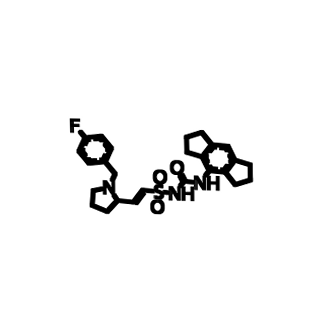 O=C(Nc1c2c(cc3c1CCC3)CCC2)NS(=O)(=O)/C=C/C1CCCN1Cc1ccc(F)cc1